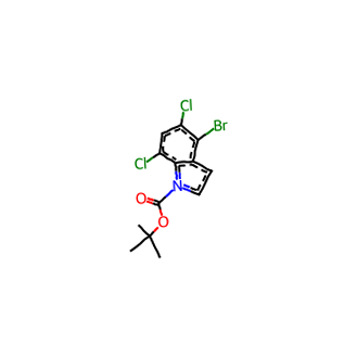 CC(C)(C)OC(=O)n1ccc2c(Br)c(Cl)cc(Cl)c21